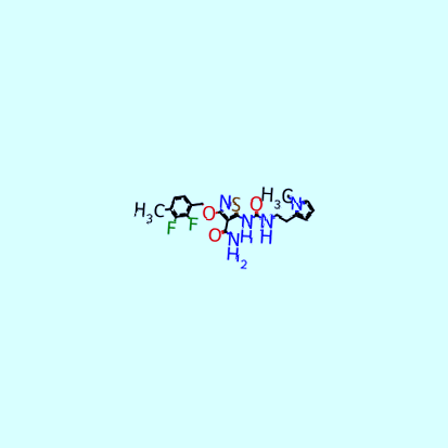 Cc1ccc(COc2nsc(NC(=O)NCCc3cccn3C)c2C(N)=O)c(F)c1F